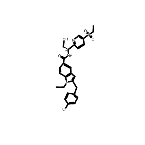 CCn1c(Cc2ccc(Cl)cc2)cc2cc(C(=O)N[C@@H](CO)c3ccc(S(=O)(=O)CC)cn3)ccc21